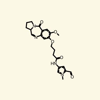 COc1cc2c(cc1OCCCC(=O)Nc1cc(C=O)n(C)c1)N=CC1CCCN1C2=O